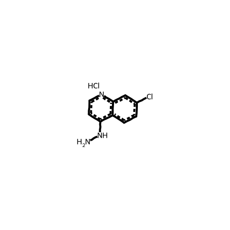 Cl.NNc1ccnc2cc(Cl)ccc12